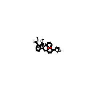 COC(=O)C1=C(C(=O)OC)C2(C(Cc3ccc(-c4cc[nH]n4)cc3)Nc3ccccc3)C=CC1O2